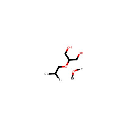 CCCCC(CC)COC(CO)CO.CCOCC